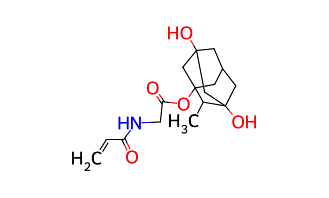 C=CC(=O)NCC(=O)OC12CC3CC(O)(CC(O)(C3)C1C)C2